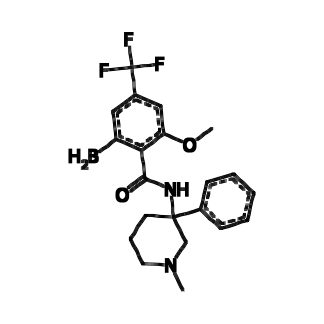 Bc1cc(C(F)(F)F)cc(OC)c1C(=O)NC1(c2ccccc2)CCCN(C)C1